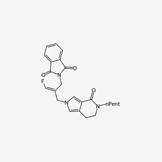 CCCCCN1CCc2cn(C/C(=C/F)CN3C(=O)c4ccccc4C3=O)cc2C1=O